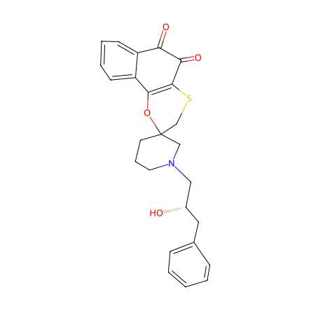 O=C1C(=O)c2ccccc2C2=C1SCC1(CCCN(C[C@@H](O)Cc3ccccc3)C1)O2